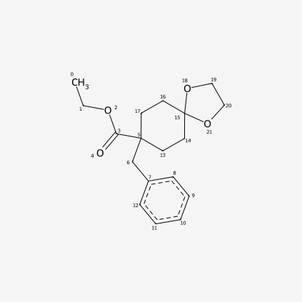 CCOC(=O)C1(Cc2ccccc2)CCC2(CC1)OCCO2